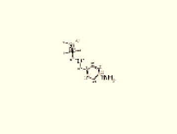 C[SiH](C)C(C)(C)COCc1ccc(N)cc1